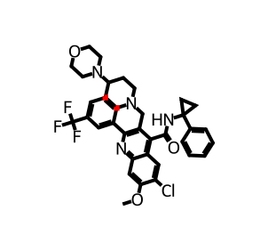 COc1cc2nc(-c3cccc(C(F)(F)F)c3)c(CN3CCC(N4CCOCC4)CC3)c(C(=O)NC3(c4ccccc4)CC3)c2cc1Cl